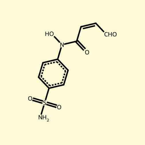 NS(=O)(=O)c1ccc(N(O)C(=O)/C=C\C=O)cc1